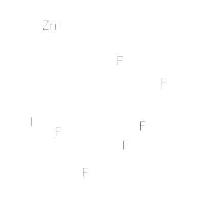 FC(F)(F)C(C[CH2][Zn+])C(F)(F)F.[I-]